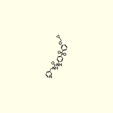 O=C(NCc1cccnc1)Nc1ccc(S(=O)(=O)c2cccc(OCC3CC3)c2)cc1